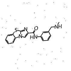 CNCc1cccc(NC(=O)c2cn3c(n2)sc2ccccc23)c1